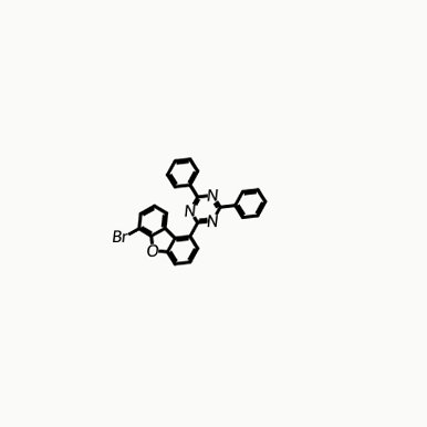 Brc1cccc2c1oc1cccc(-c3nc(-c4ccccc4)nc(-c4ccccc4)n3)c12